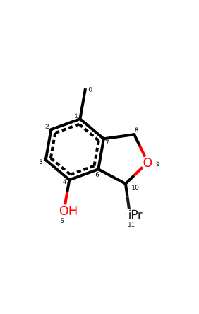 Cc1ccc(O)c2c1COC2C(C)C